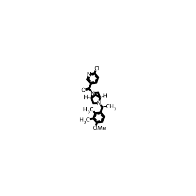 COc1ccc([C@H](C)N2C[C@@H]3C[C@H]2CN3C(=O)c2ccc(Cl)nc2)c(C)c1C